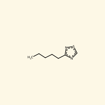 CCCCCc1ncsn1